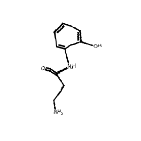 NCCC(=O)Nc1ccccc1O